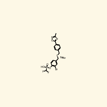 Cc1noc(-c2ccc(CSCc3ccc(OP(=O)(O)C(F)F)c(Br)c3)cc2)n1.[Na].[Na]